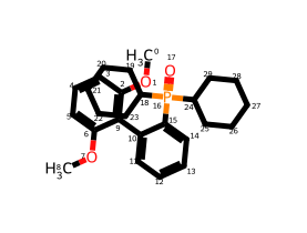 COc1cccc(OC)c1-c1ccccc1P(=O)(C1CCCCC1)C1CCCCC1